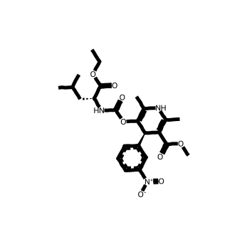 CCOC(=O)[C@@H](CC(C)C)NC(=O)OC1=C(C)NC(C)=C(C(=O)OC)[C@H]1c1cccc([N+](=O)[O-])c1